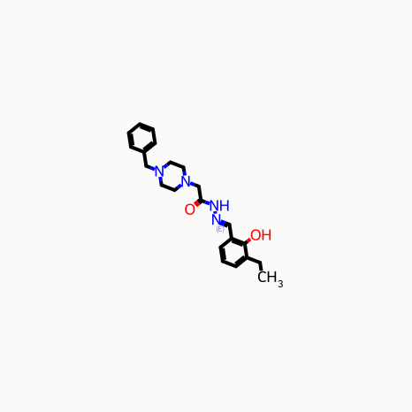 CCc1cccc(/C=N/NC(=O)CN2CCN(Cc3ccccc3)CC2)c1O